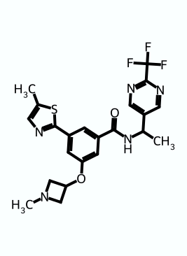 Cc1cnc(-c2cc(OC3CN(C)C3)cc(C(=O)NC(C)c3cnc(C(F)(F)F)nc3)c2)s1